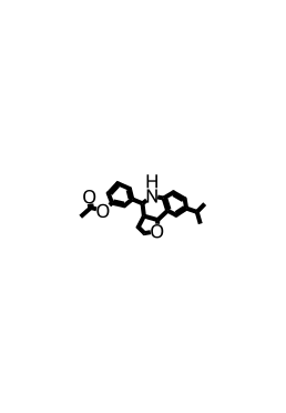 CC(=O)Oc1cccc(C2Nc3ccc(C(C)C)cc3C3OCCC23)c1